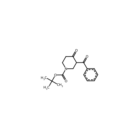 CC(C)(C)OC(=O)N1CCC(=O)C(C(=O)c2ccccc2)C1